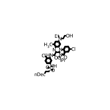 CCCCCCCCCCCCS(=O)(=O)Nc1ccc(Cl)c(NC(=O)/C(=N/c2ccc(N(CC)CCO)cc2C)c2nc3ccc(Cl)cc3c(=O)n2OC(C)C)c1